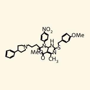 COC(=O)C1=C(C)N=C(SCc2ccc(OC)cc2)NC1N(C(=O)CCCN1CCC(c2ccccc2)CC1)c1ccc([N+](=O)[O-])cc1